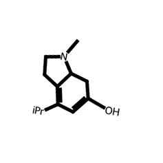 CC(C)C1=C2CCN(C)C2CC(O)=C1